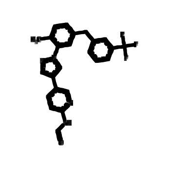 Cc1ccc(Cc2cccc(C(F)(F)F)c2)cc1-n1cc(-c2ccc(NC=O)nc2)cn1